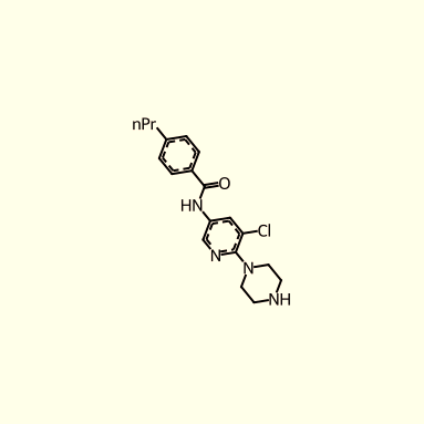 CCCc1ccc(C(=O)Nc2cnc(N3CCNCC3)c(Cl)c2)cc1